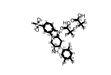 CS(=O)(=O)c1ccc2nc3n(c2c1)C[C@H](N)[C@@H](c1cc(F)c(F)cc1F)C3.O=C(O)C(F)(F)F.O=C(O)C(F)(F)F